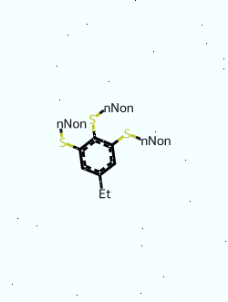 CCCCCCCCCSc1cc(CC)cc(SCCCCCCCCC)c1SCCCCCCCCC